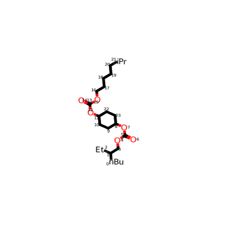 CCCCC(CC)COC(=O)OC1CCC(OC(=O)OCCCCCC(C)C)CC1